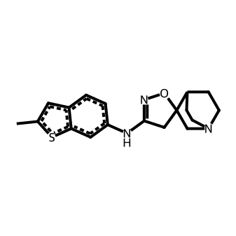 Cc1cc2ccc(NC3=NOC4(C3)CN3CCC4CC3)cc2s1